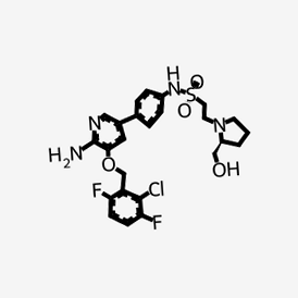 Nc1ncc(-c2ccc(NS(=O)(=O)CCN3CCC[C@H]3CO)cc2)cc1OCc1c(F)ccc(F)c1Cl